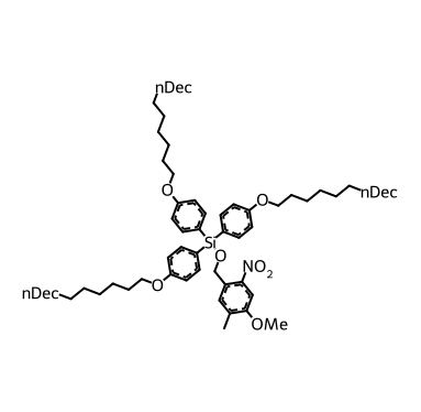 CCCCCCCCCCCCCCCCOc1ccc([Si](OCc2cc(C)c(OC)cc2[N+](=O)[O-])(c2ccc(OCCCCCCCCCCCCCCCC)cc2)c2ccc(OCCCCCCCCCCCCCCCC)cc2)cc1